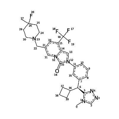 Cn1cnnc1[C@H](c1cccc(-n2cc3c(C(F)(F)F)cc(CN4CCC(C)(F)CC4)cn3c2=O)c1)C1CCC1